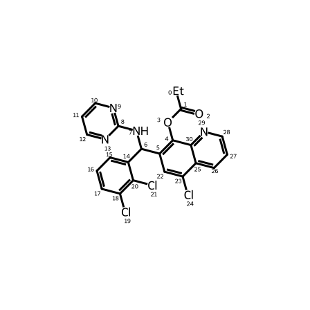 CCC(=O)Oc1c(C(Nc2ncccn2)c2cccc(Cl)c2Cl)cc(Cl)c2cccnc12